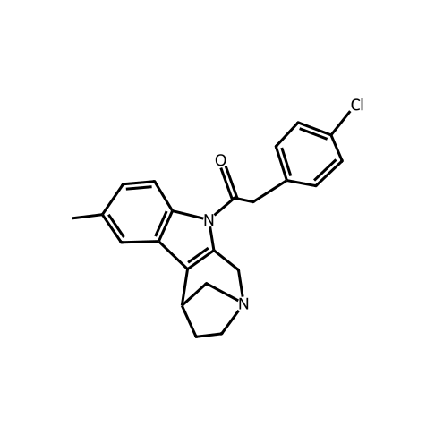 Cc1ccc2c(c1)c1c(n2C(=O)Cc2ccc(Cl)cc2)CN2CCC1C2